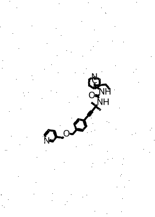 CCC1(NC(=O)NC(C)(C)C#Cc2ccc(COCc3cccnc3)cc2)CN2CCC1CC2